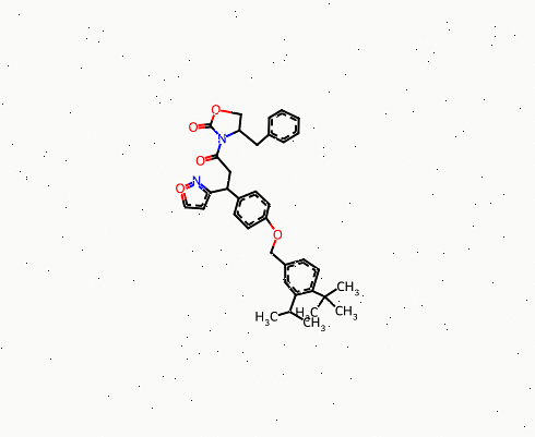 CC(C)c1cc(COc2ccc(C(CC(=O)N3C(=O)OCC3Cc3ccccc3)c3ccon3)cc2)ccc1C(C)(C)C